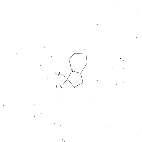 CC1(C)CCC2CCCCN21